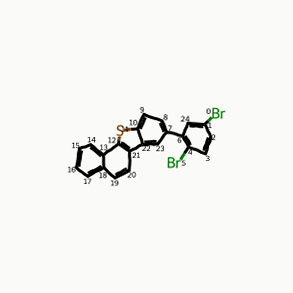 Brc1ccc(Br)c(-c2ccc3sc4c5ccccc5ccc4c3c2)c1